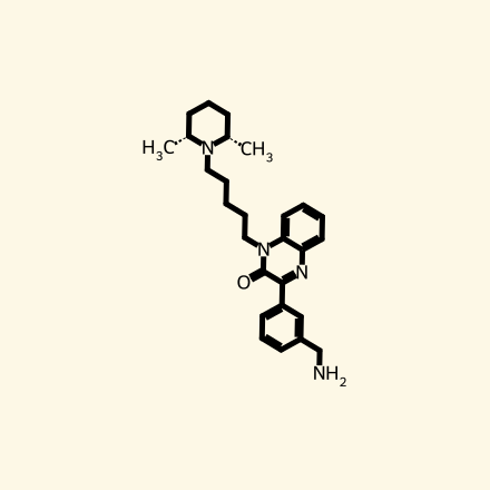 C[C@@H]1CCC[C@H](C)N1CCCCCn1c(=O)c(-c2cccc(CN)c2)nc2ccccc21